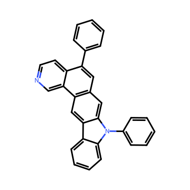 c1ccc(-c2cc3cc4c(cc3c3cnccc23)c2ccccc2n4-c2ccccc2)cc1